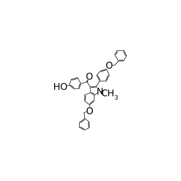 Cn1c(-c2ccc(OCc3ccccc3)cc2)c(C(=O)c2ccc(O)cc2)c2ccc(OCc3ccccc3)cc21